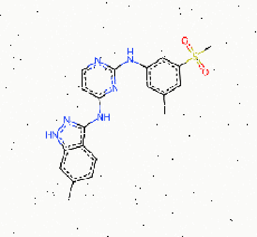 Cc1cc(Nc2nccc(Nc3n[nH]c4cc(C)ccc34)n2)cc(S(C)(=O)=O)c1